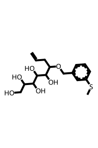 C=CCC(OCc1cccc(SC)c1)C(O)C(O)C(O)C(O)CO